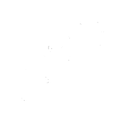 N#Cc1ccc(NC(=O)C(Cl)c2ccccc2)cn1